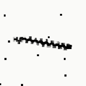 CCCCCCCC=CCCCCCCCCBr